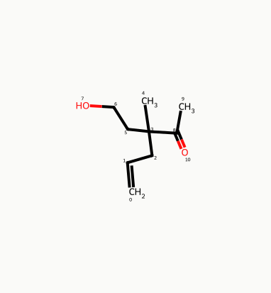 C=CCC(C)(CCO)C(C)=O